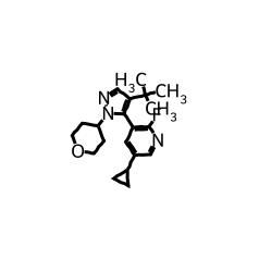 CC(C)(C)c1cnn(C2CCOCC2)c1-c1cc(C2CC2)cnc1F